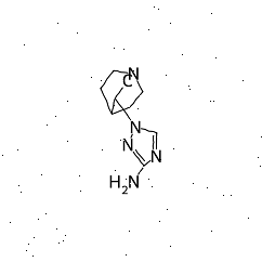 Nc1ncn(C2CN3CCC2CC3)n1